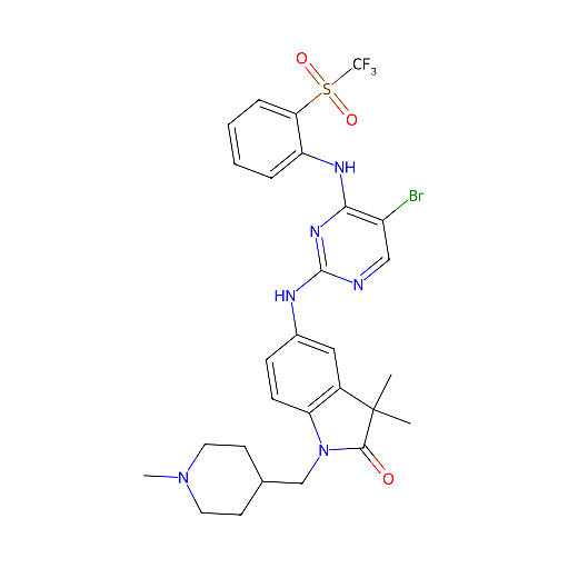 CN1CCC(CN2C(=O)C(C)(C)c3cc(Nc4ncc(Br)c(Nc5ccccc5S(=O)(=O)C(F)(F)F)n4)ccc32)CC1